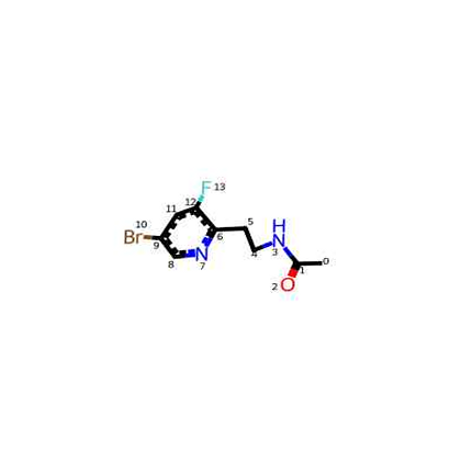 CC(=O)NCCc1ncc(Br)cc1F